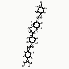 CCN(CC)c1ccc(N=Nc2ccc(C(=O)Oc3ccc(N=Nc4ccc(C)cc4)cc3C)cc2)cc1